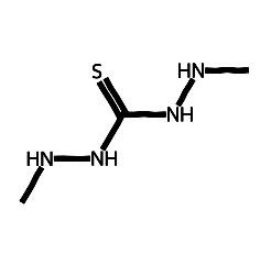 CNNC(=S)NNC